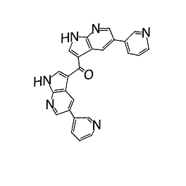 O=C(c1c[nH]c2ncc(-c3cccnc3)cc12)c1c[nH]c2ncc(-c3cccnc3)cc12